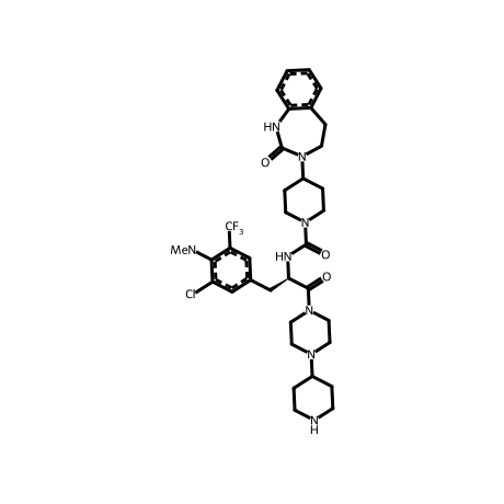 CNc1c(Cl)cc(C[C@@H](NC(=O)N2CCC(N3CCc4ccccc4NC3=O)CC2)C(=O)N2CCN(C3CCNCC3)CC2)cc1C(F)(F)F